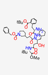 CC[C@H](C)[C@H](NC(=O)CC(O)[C@H](CC1CCCCC1)N(NC(=O)[C@@H](N)Cc1ccccc1C(=O)OC(C)(C)C)C(=O)CCC1CCCN(C(=O)OCc2ccccc2)C1)C(=O)OC